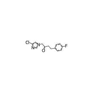 O=C(CCc1ccc(F)cc1)Cn1cnc(Cl)c1